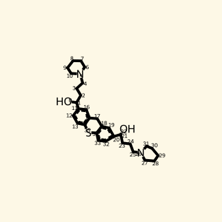 OC(CCCN1CCCCC1)c1ccc2c(c1)Cc1cc(C(O)CCCN3CCCCC3)ccc1S2